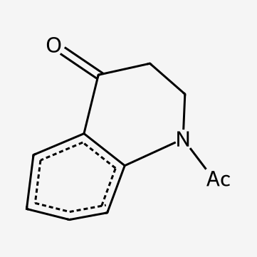 CC(=O)N1CCC(=O)c2ccccc21